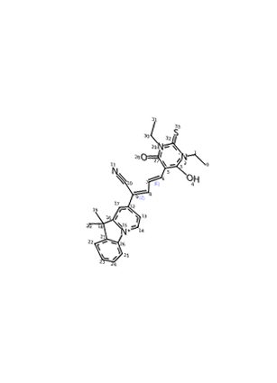 CCn1c(O)c(/C=C/C=C(\C#N)c2cc[n+]3c(c2)C(C)(C)c2ccccc2-3)c(=O)n(CC)c1=S